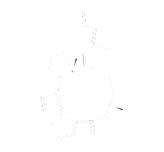 C=N/C=C(F)\C=C1/CCC[C@@H](C)NC(=O)c2cnn3ccc(nc23)N2CCC[C@H]12